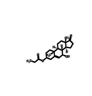 CCC(=O)O[C@H]1CC[C@@]2(C)C(=C[C@H](O)[C@@H]3[C@@H]2CC[C@]2(C)C(=O)CC[C@@H]32)C1